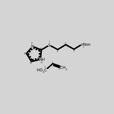 C=CC(=O)O.CCCCCCCCCCCCSc1ncc[nH]1